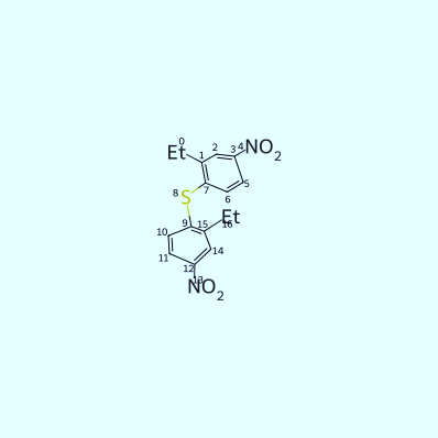 CCc1cc([N+](=O)[O-])ccc1Sc1ccc([N+](=O)[O-])cc1CC